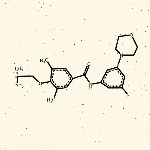 Cc1cc(C(=O)Nc2cc(F)cc(N3CCOCC3)c2)cc(C)c1OC[C@@H](C)N